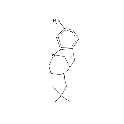 CC(C)(C)CN1CCN2CC1Cc1ccc(N)cc12